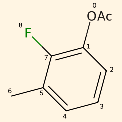 CC(=O)Oc1cccc(C)c1F